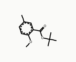 COc1ccc(C)cc1C(=O)OC(C)(C)C